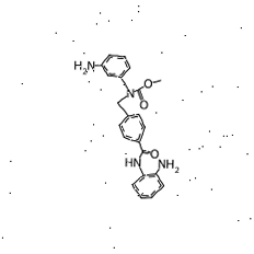 COC(=O)N(Cc1ccc(C(=O)Nc2ccccc2N)cc1)c1cccc(N)c1